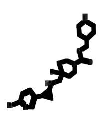 O=C(OCC1CCNCC1)N1CCC(F)(CNC2CC2c2ccc(Br)nc2)CC1